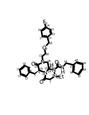 CCN1CC(=O)N2[C@@H](Cc3ccccc3)C(=O)N(CCOCc3ccc(F)cc3)C[C@@H]2N1C(=O)NCc1ccccc1